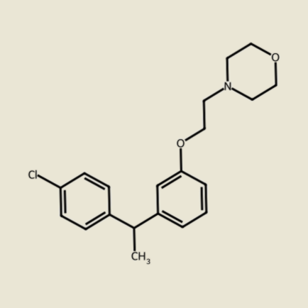 CC(c1ccc(Cl)cc1)c1cccc(OCCN2CCOCC2)c1